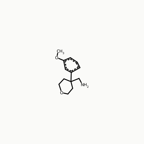 COc1cccc(C2(CN)CCOCC2)c1